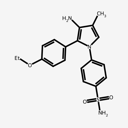 CCOc1ccc(-c2c(N)c(C)cn2-c2ccc(S(N)(=O)=O)cc2)cc1